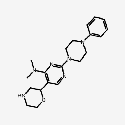 CN(C)c1nc(N2CCN(c3ccccc3)CC2)ncc1C1CNCCO1